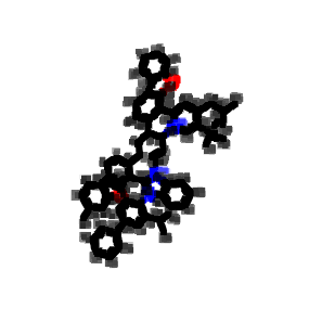 C=CC1C(CCc2ccc3c(oc4cc(C)ccc43)c2-c2n(-c3c(C(C)C)cc(-c4ccccc4)cc3C(C)C)c3ccccc3[n+]2C)c2ccc3c(oc4ccccc43)c2-c2cc(CC(C)C)c([Si](C)(C)C)c[n+]21